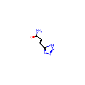 NC(=O)C=Cc1nnn[nH]1